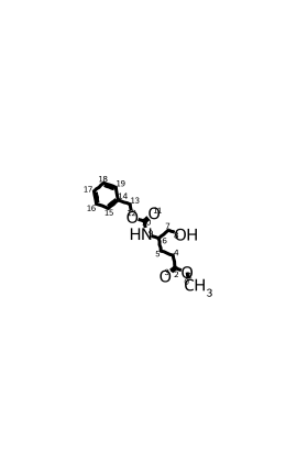 COC(=O)CCC(CO)NC(=O)OCc1ccccc1